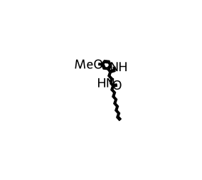 C=CCCCCCCCCC(=O)NCCc1c[nH]c2ccc(OC)cc12